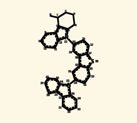 CC1CCCc2c1c1ccccc1n2-c1ccc2sc3ccc(-n4c5ccccc5c5ccccc54)cc3c2c1